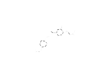 CCN(C)C=Nc1cc(C)c(C(=O)OCc2ccc(OC(F)F)cc2)cc1C